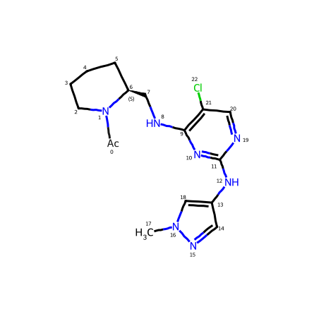 CC(=O)N1CCCC[C@H]1CNc1nc(Nc2cnn(C)c2)ncc1Cl